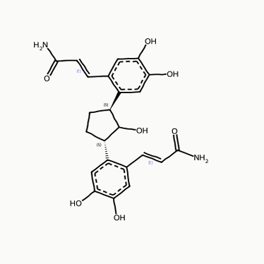 NC(=O)/C=C/c1cc(O)c(O)cc1[C@@H]1CC[C@@H](c2cc(O)c(O)cc2/C=C/C(N)=O)C1O